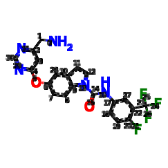 NCc1cc(Oc2ccc3c(ccn3C(=O)Nc3ccc(F)c(C(F)(F)F)c3)c2)ncn1